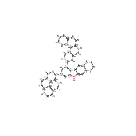 c1ccc2cc3c(cc2c1)oc1cc(-c2ccc4ccc5cccc6ccc2c4c56)cc(-c2ccc4c(ccc5ccc6ccccc6c54)c2)c13